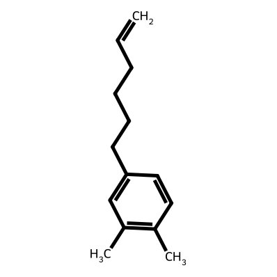 C=CCCCCc1ccc(C)c(C)c1